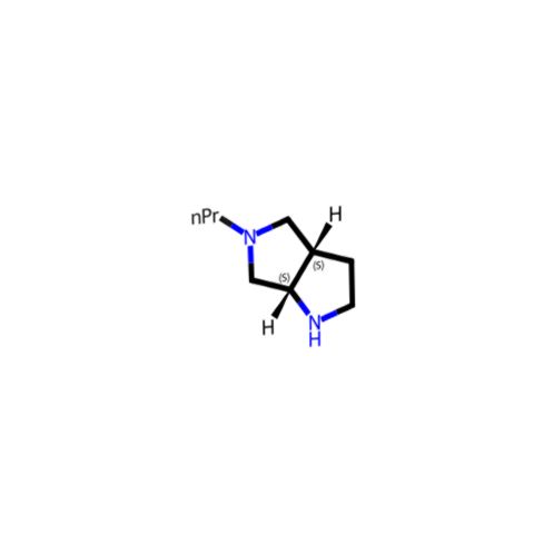 CCCN1C[C@@H]2CCN[C@@H]2C1